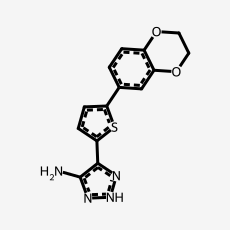 Nc1n[nH]nc1-c1ccc(-c2ccc3c(c2)OCCO3)s1